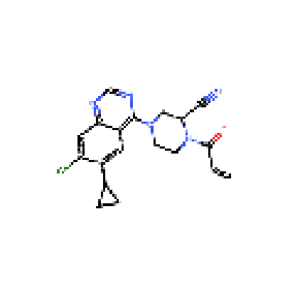 C=CC(=O)N1CCN(c2ncnc3cc(Cl)c(C4CC4)cc23)CC1C#N